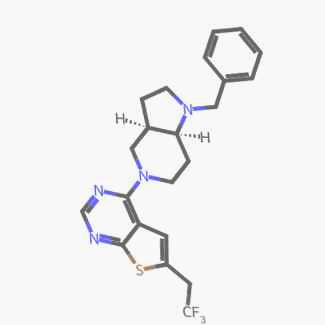 FC(F)(F)Cc1cc2c(N3CC[C@H]4[C@H](CCN4Cc4ccccc4)C3)ncnc2s1